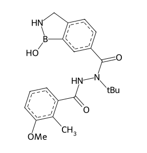 COc1cccc(C(=O)NN(C(=O)c2ccc3c(c2)B(O)NC3)C(C)(C)C)c1C